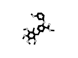 COC(=O)c1cc(Cc2c(C)c(OC)c(OC)c(OC)c2OC)ccc1Oc1cccc(OC)c1